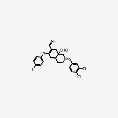 N=CC1=C(Nc2ccc(F)cc2)C=C2CCN(Sc3ccc(Cl)c(Cl)c3)CC2(C=O)C1